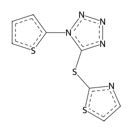 c1csc(-n2nnnc2Sc2nccs2)c1